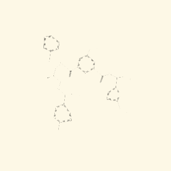 Cc1ccc([C@@H](C)NC[C@@H](O)[C@H](Cc2ccccc2)NC(=O)c2cc(C)cc(C(=O)NC(C)c3ccc(C)o3)c2)cc1